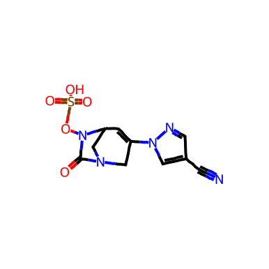 N#Cc1cnn(C2=CC3CN(C2)C(=O)N3OS(=O)(=O)O)c1